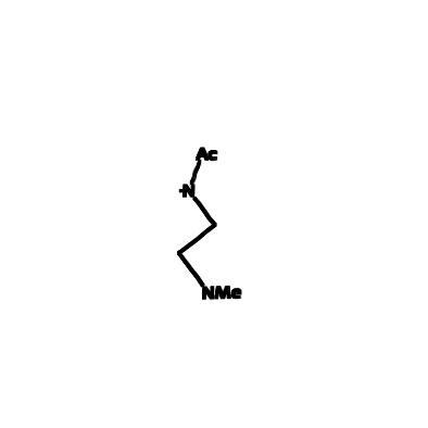 CNCC[N]C(C)=O